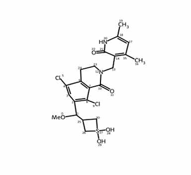 COC(c1cc(Cl)c2c(c1Cl)C(=O)N(Cc1c(C)cc(C)[nH]c1=O)CC2)C1CS(O)(O)C1